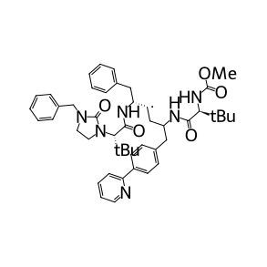 COC(=O)N[C@H](C(=O)NC(C[CH][C@@H](Cc1ccccc1)NC(=O)[C@@H](N1CCN(Cc2ccccc2)C1=O)C(C)(C)C)Cc1ccc(-c2ccccn2)cc1)C(C)(C)C